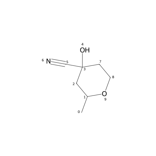 CC1CC(O)(C#N)CCO1